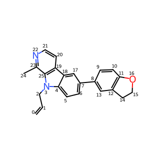 C=CCn1c2ccc(-c3ccc4c(c3)CCO4)cc2c2ccnc(C)c21